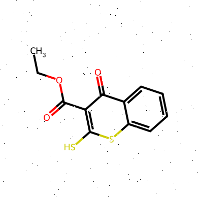 CCOC(=O)c1c(S)sc2ccccc2c1=O